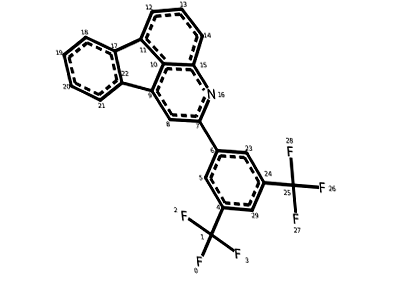 FC(F)(F)c1cc(-c2cc3c4c(cccc4n2)-c2ccccc2-3)cc(C(F)(F)F)c1